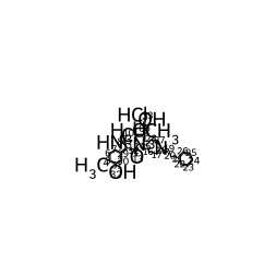 CC(C)O.Cc1cc2[nH]c(C)c(C(=O)NC3CCN(CCc4ccccc4)CC3)c2cc1O.Cl